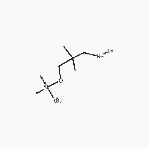 CCNCC(C)(C)CO[Si](C)(C)C(C)(C)C